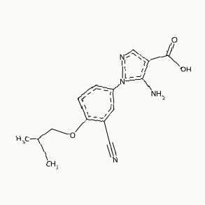 CC(C)COc1ccc(-n2ncc(C(=O)O)c2N)cc1C#N